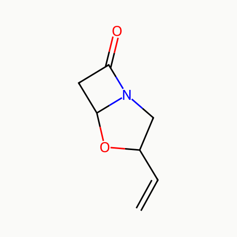 C=CC1CN2C(=O)CC2O1